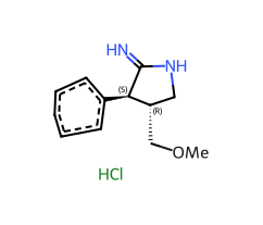 COC[C@H]1CNC(=N)[C@@H]1c1ccccc1.Cl